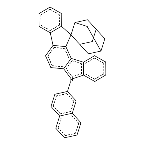 c1ccc2c(c1)-c1ccc3c(c1C21C2CC4CC(C2)CC1C4)c1ccccc1n3-c1ccc2ccccc2c1